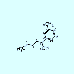 CCCCC(O)c1cc(C)ccn1